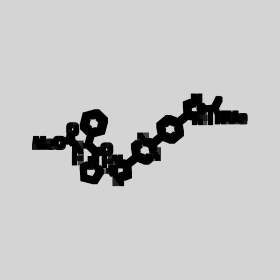 CN[C@@H](C)c1ncc(-c2ccc(-c3ncc(-c4cnc([C@@H]5CCCN5C(=O)[C@H](NC(=O)OC)c5ccccc5)[nH]4)cn3)cc2)[nH]1